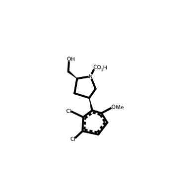 COc1ccc(Cl)c(Cl)c1[C@H]1C[C@@H](CO)N(C(=O)O)C1